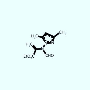 C=C(C(=O)OCC)N(C=O)n1nc(C)cc1C